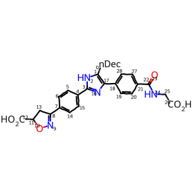 CCCCCCCCCCc1[nH]c(-c2ccc(C3=NOC(C(=O)O)C3)cc2)nc1-c1ccc(C(=O)NCC(=O)O)cc1